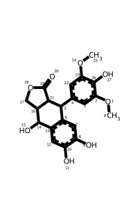 COc1cc(C2c3cc(O)c(O)cc3C(O)C3COC(=O)C23)cc(OC)c1O